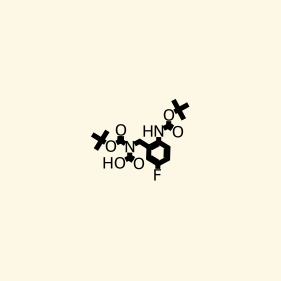 CC(C)(C)OC(=O)Nc1ccc(F)cc1CN(C(=O)O)C(=O)OC(C)(C)C